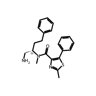 Cc1nc(C(=O)N(C)[C@H](CN)CCc2ccccc2)c(-c2ccccc2)s1